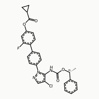 C[C@@H](OC(=O)Nc1c(Cl)cnn1-c1ccc(-c2ccc(OC(=O)C3CC3)cc2F)cc1)c1ccccc1